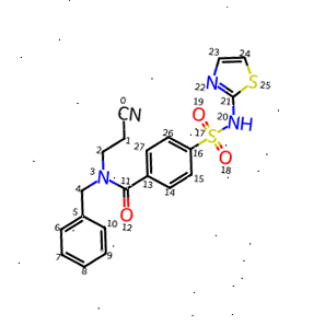 N#CCCN(Cc1ccccc1)C(=O)c1ccc(S(=O)(=O)Nc2nccs2)cc1